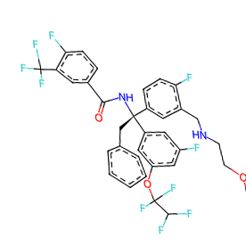 COCCNCc1cc([C@@](Cc2ccccc2)(NC(=O)c2ccc(F)c(C(F)(F)F)c2)c2cc(F)cc(OC(F)(F)C(F)F)c2)ccc1F